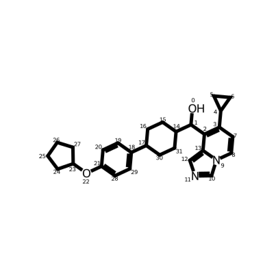 OC(c1c(C2CC2)ccn2cncc12)C1CCC(c2ccc(OC3CCCC3)cc2)CC1